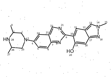 CC1CN(c2ccc3nc(-c4cc5cn(C)nc5cc4O)ncc3c2)CC(C)N1